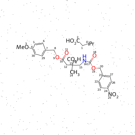 CC(C)CC(=O)O.COc1ccc(COC(=O)CC(C)(CNC(=O)OCc2ccc([N+](=O)[O-])cc2)C(=O)O)cc1